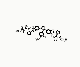 COC(=O)N[C@H](C(=O)N1CCC[C@H]1c1nc2cc([C@H]3CC[C@H](c4ccc5[nH]c([C@@H]6CCCN6C(=O)[C@H](C(C)C)N(C)C(=O)O)nc5c4)N3c3ccc(OC(F)(F)F)c(Cl)c3)ccc2[nH]1)C(C)C